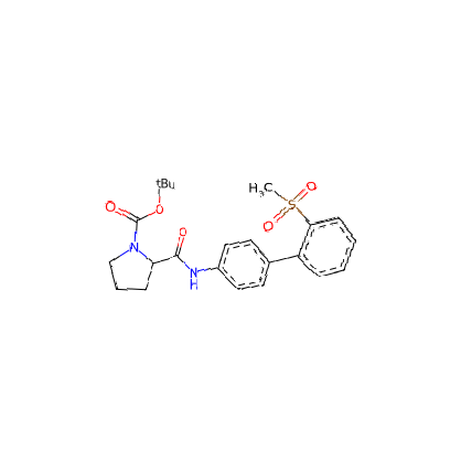 CC(C)(C)OC(=O)N1CCCC1C(=O)Nc1ccc(-c2ccccc2S(C)(=O)=O)cc1